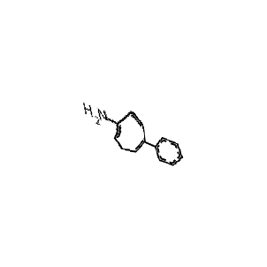 NC1=CCC=C(c2ccccc2)C=C1